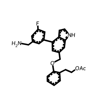 CC(=O)OCCc1ccccc1OCc1cc(-c2cc(F)cc(CN)c2)c2cc[nH]c2c1